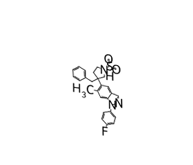 Cc1cc2c(cnn2-c2ccc(F)cc2)cc1C1(Cc2ccccc2)CCN([SH](=O)=O)C1